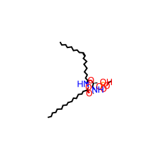 CCCCCCCC/C=C\CCCCCCCC(=N)O[C@@H](COP(=O)(O)OCC)C(NC)OC(=O)CCCCCCCCCCCCCCC